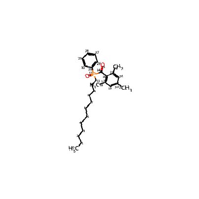 CCCCCCCCCCCCP(=O)(C(=O)c1c(C)cc(C)cc1C)c1ccccc1